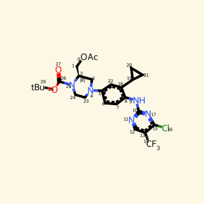 CC(=O)OC[C@H]1CN(c2ccc(Nc3ncc(C(F)(F)F)c(Cl)n3)c(C3CC3)c2)CCN1C(=O)OC(C)(C)C